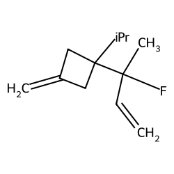 C=CC(C)(F)C1(C(C)C)CC(=C)C1